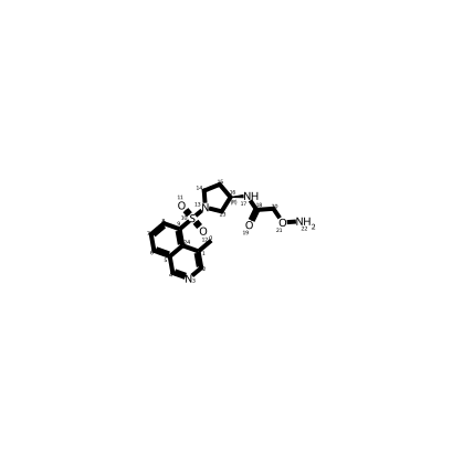 Cc1cncc2cccc(S(=O)(=O)N3CC[C@@H](NC(=O)CON)C3)c12